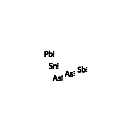 [As].[As].[Pb].[Sb].[Sn]